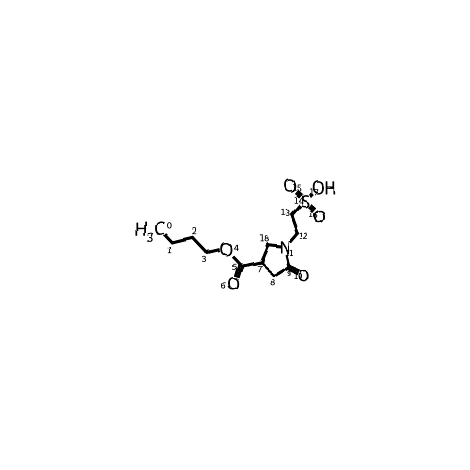 CCCCOC(=O)C1CC(=O)N(CCS(=O)(=O)O)C1